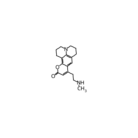 CNCCc1cc(=O)oc2c3c4c(cc12)CCCN4CCC3